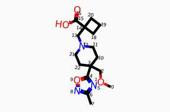 COCC1(c2nc(C)no2)CCN(CC2(C(=O)O)CCC2)CC1